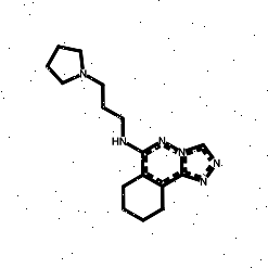 c1nnc2c3c(c(NCCCN4CCCC4)nn12)CCCC3